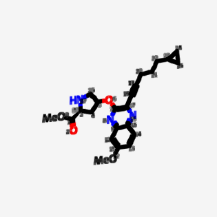 COC(=O)[C@@H]1CC(Oc2nc3cc(OC)ccc3nc2C#CCCCC2CC2)CN1